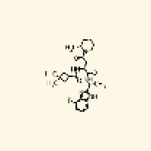 CC(NC(=O)C(CC(=O)N1CCCC[C@@H]1C)NC(=O)C1CC(C)(C)C1)c1nc2c(F)cccc2[nH]1